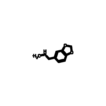 [CH2]NCc1ccc2c(c1)OCO2